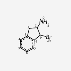 NC1Cc2ccccc2C1Br